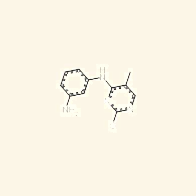 Cc1cnc(Cl)nc1Nc1cccc(N)c1